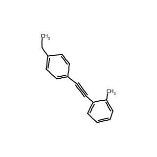 CCc1ccc(C#Cc2ccccc2C)cc1